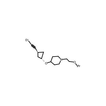 CCC#C[C@H]1C[C@H](OC2CCN(CCOC(C)C)CC2)C1